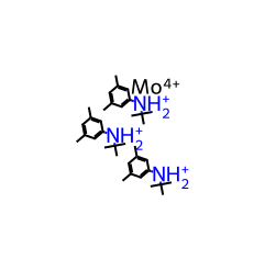 Cc1cc(C)cc([NH2+]C(C)(C)C)c1.Cc1cc(C)cc([NH2+]C(C)(C)C)c1.Cc1cc(C)cc([NH2+]C(C)(C)C)c1.[Mo+4]